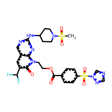 CS(=O)(=O)N1CCC(Nc2ncc3cc(C(F)F)c(=O)n(CCOC(=O)c4ccc(S(=O)(=O)n5cncn5)cc4)c3n2)CC1